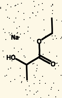 CCOC(=O)C(C)O.[Na]